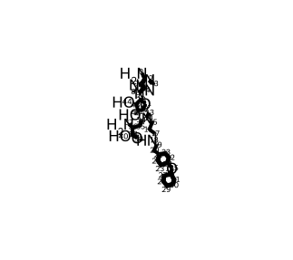 Nc1ncnc2c1ncn2[C@@H]1O[C@H](CN(CCCNCCc2ccc(Oc3ccccc3)cc2)CCC(N)C(=O)O)[C@@H](O)[C@H]1O